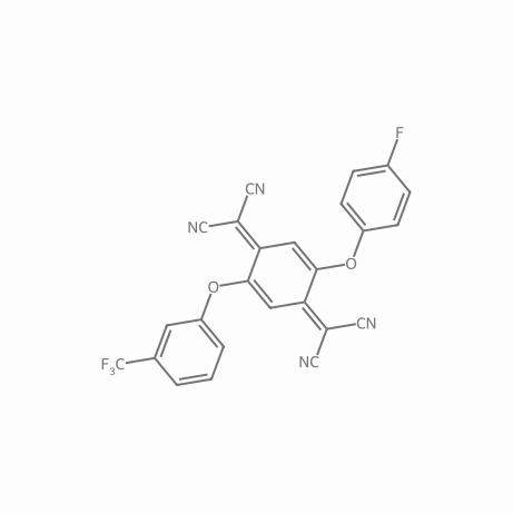 N#CC(C#N)=c1cc(Oc2cccc(C(F)(F)F)c2)c(=C(C#N)C#N)cc1Oc1ccc(F)cc1